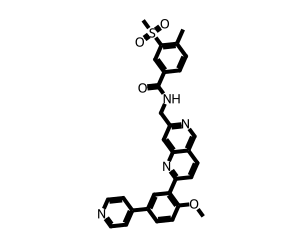 COc1ccc(-c2ccncc2)cc1-c1ccc2cnc(CNC(=O)c3ccc(C)c(S(C)(=O)=O)c3)cc2n1